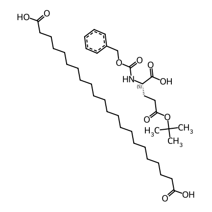 CC(C)(C)OC(=O)CC[C@H](NC(=O)OCc1ccccc1)C(=O)O.O=C(O)CCCCCCCCCCCCCCCCCCCCC(=O)O